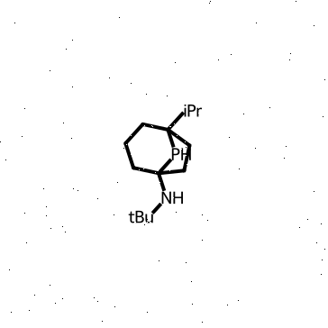 CC(C)C12CCCC(NC(C)(C)C)(CC1)P2